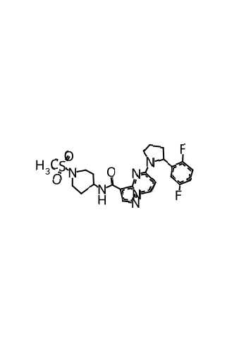 CS(=O)(=O)N1CCC(NC(=O)c2cnn3ccc(N4CCCC4c4cc(F)ccc4F)nc23)CC1